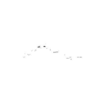 CCCCCCCCCCCCCOCC=C=CCCCCl